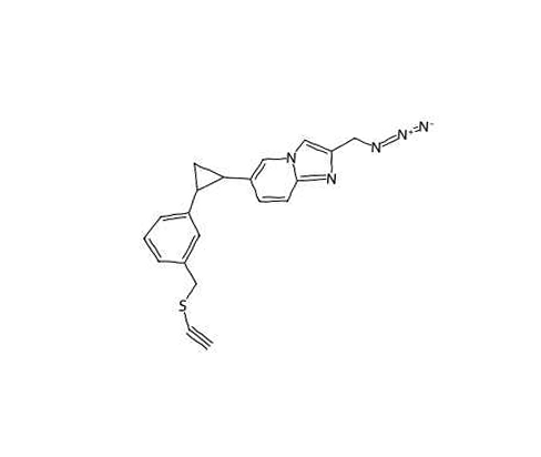 C#CSCc1cccc(C2CC2c2ccc3nc(CN=[N+]=[N-])cn3c2)c1